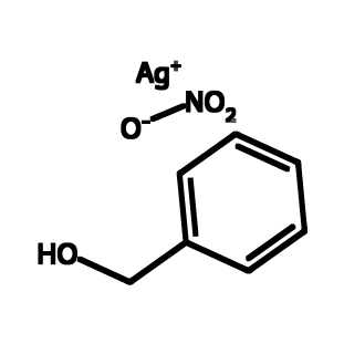 O=[N+]([O-])[O-].OCc1ccccc1.[Ag+]